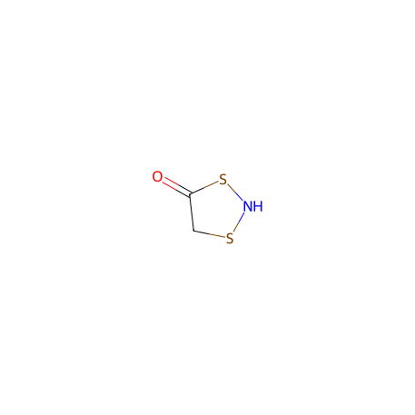 O=C1CSNS1